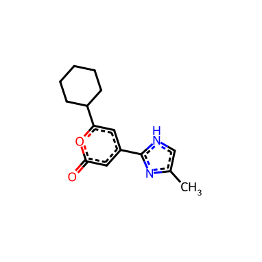 Cc1c[nH]c(-c2cc(C3CCCCC3)oc(=O)c2)n1